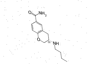 CCCCN[C@@H]1COc2ccc(C(N)=O)cc2C1